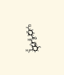 Cc1ccc(P)c2sc(NC(=O)c3ccc(CCl)nc3)nc12